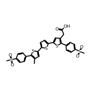 Cc1cc(-c2ccc(-c3cc(CC(=O)O)c(-c4ccc(S(C)(=O)=O)cc4)s3)s2)sc1-c1ccc(S(C)(=O)=O)cc1